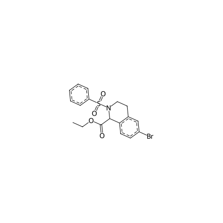 CCOC(=O)C1c2ccc(Br)cc2CCN1S(=O)(=O)c1ccccc1